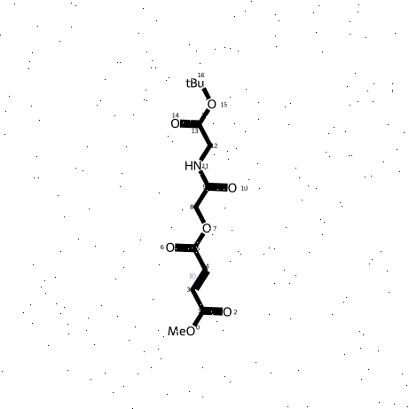 COC(=O)/C=C/C(=O)OCC(=O)NCC(=O)OC(C)(C)C